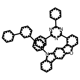 c1ccc(-c2cccc(-c3ccc(-n4c5ccccc5c5cc6oc7cccc(-c8nc(-c9ccccc9)nc(-c9ccccc9)n8)c7c6cc54)cc3)c2)cc1